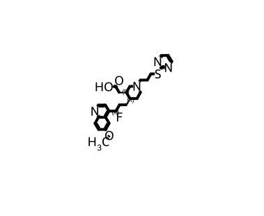 COc1ccc2nccc([C@H](F)CC[C@@H]3CCN(CCCSc4ncccn4)C[C@@H]3CC(=O)O)c2c1